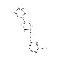 O=Cc1cccc(COc2ccc(-c3ccccc3)cc2)c1